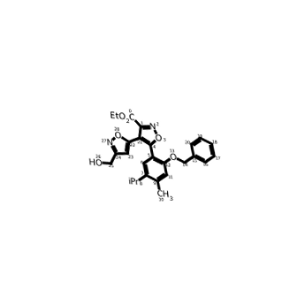 CCOC(=O)c1noc(-c2cc(C(C)C)c(C)cc2OCc2ccccc2)c1-c1cc(CO)no1